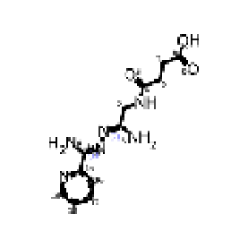 N/C(CNC(=O)CCC(=O)O)=N\N=C(/N)c1ccccn1